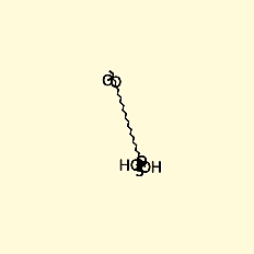 C=CC(=O)OCCCCCCCCCCCCCCCCCCCOP(O)(O)=S